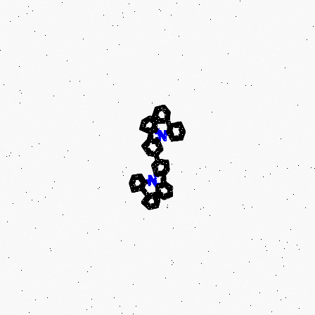 c1ccc(-c2ccccc2-n2c3ccccc3c3ccc(-c4ccc5c6ccccc6n(-c6ccccc6-c6ccccc6)c5c4)cc32)cc1